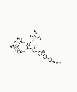 C=C(C)C(=O)OCCCc1cc(-c2ccc(-c3ccc(-c4ccc(C5CCC(CCCCC)CC5)cc4)c(CC)c3)cc2CC)cc2c1OCCC(CO)(CO)CCC(C)(C(=C)C)CC(=O)OCCC2